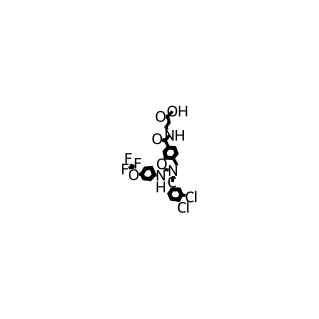 O=C(O)CCNC(=O)c1ccc(CN(CCc2ccc(Cl)c(Cl)c2)C(=O)Nc2ccc(OC(F)(F)F)cc2)cc1